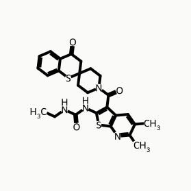 CCNC(=O)Nc1sc2nc(C)c(C)cc2c1C(=O)N1CCC2(CC1)CC(=O)c1ccccc1S2